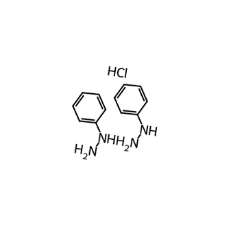 Cl.NNc1ccccc1.NNc1ccccc1